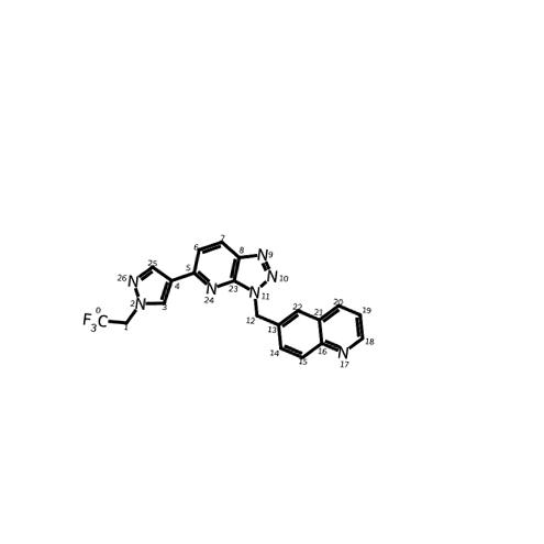 FC(F)(F)Cn1cc(-c2ccc3nnn(Cc4ccc5ncccc5c4)c3n2)cn1